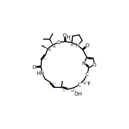 CC1=C\[C@@H](O)C[C@@H](F)Cc2nc(co2)C(=O)N2CCC[C@@H]2C(=O)O[C@H](C(C)C)[C@H](C)/C=C/C(=O)NC\C=C\1